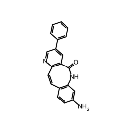 Nc1ccc2c(c1)NC(=O)c1cc(-c3ccccc3)cnc1/C=C\2